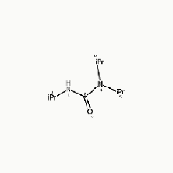 CC(C)NC(=O)N(C(C)C)C(C)C